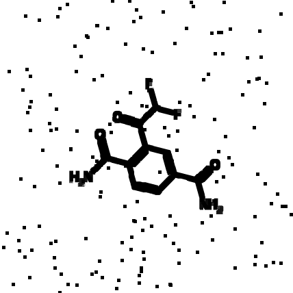 NC(=O)c1ccc(C(N)=O)c(C(=O)C(F)F)c1